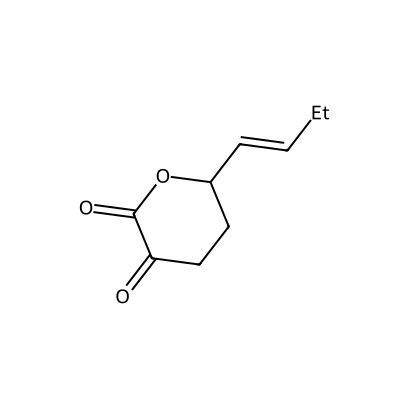 CCC=CC1CCC(=O)C(=O)O1